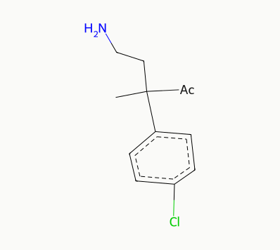 CC(=O)C(C)(CCN)c1ccc(Cl)cc1